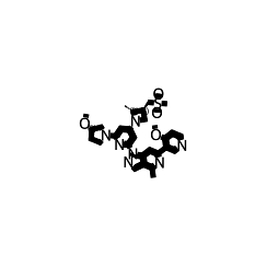 COc1ccncc1-c1cc2c(cnn2-c2cc(N3C[C@H](CS(C)(=O)=O)[C@H]3C)cc(N3CC[C@@H](OC)C3)n2)c(C)n1